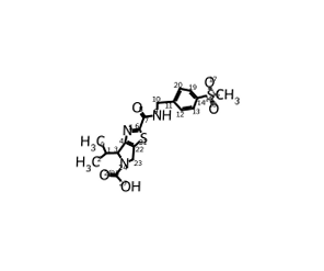 CC(C)C1c2nc(C(=O)NCc3ccc(S(C)(=O)=O)cc3)sc2CN1C(=O)O